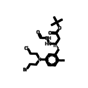 Cc1ccc(N(CCCl)CCBr)cc1C[C@@H](CC(=O)OC(C)(C)C)NBC=O